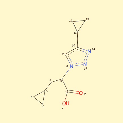 O=C(O)C(CC1CC1)n1cc(C2CC2)nn1